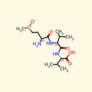 CC(C)[C@H](NC(=O)[C@@H](NC(=O)[C@@H](N)CC[S+](C)[O-])C(C)C)C(=O)O